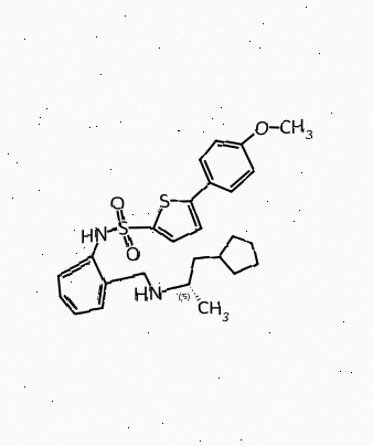 COc1ccc(-c2ccc(S(=O)(=O)Nc3ccccc3CN[C@@H](C)CC3CCCC3)s2)cc1